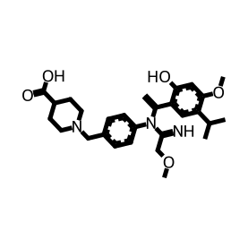 C=C(c1cc(C(C)C)c(OC)cc1O)N(C(=N)COC)c1ccc(CN2CCC(C(=O)O)CC2)cc1